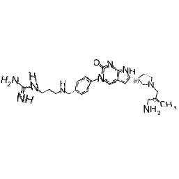 C[C@@H](CN)CN1CC[C@@H](c2cc3cn(-c4ccc(CNCCCNC(=N)N)cc4)c(=O)nc3[nH]2)C1